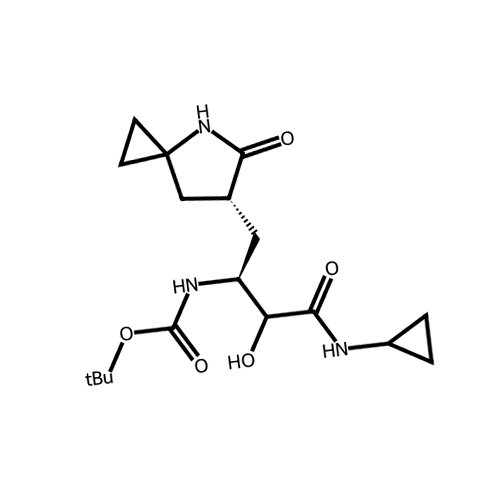 CC(C)(C)OC(=O)N[C@@H](C[C@@H]1CC2(CC2)NC1=O)C(O)C(=O)NC1CC1